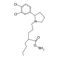 BOC(=O)C(CCCC)CCCN1CCCC1c1ccc(Cl)c(Cl)c1